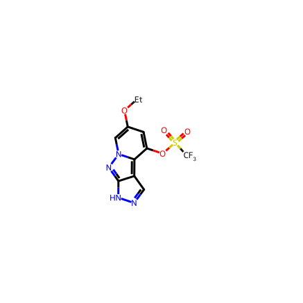 CCOc1cc(OS(=O)(=O)C(F)(F)F)c2c3cn[nH]c3nn2c1